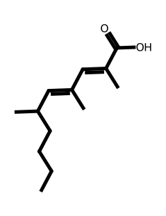 CCCCC(C)/C=C(C)/C=C(\C)C(=O)O